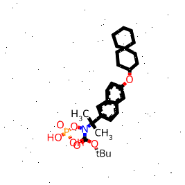 CC(C)(C)OC(=O)N(OP(=O)(O)O)C(C)(C)c1ccc2cc(OC3CCC4(CCCCC4)CC3)ccc2c1